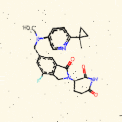 CC1(c2ccc(N(Cc3cc(F)c4c(c3)C(=O)N(C3CCC(=O)NC3=O)C4)C(=O)O)cn2)CC1